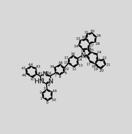 c1ccc(C2=NC(c3ccc(-c4ccc(-n5c6cc7ccccc7cc6c6c7ccccc7ccc65)cc4)cc3)=NC(c3ccccc3)N2)cc1